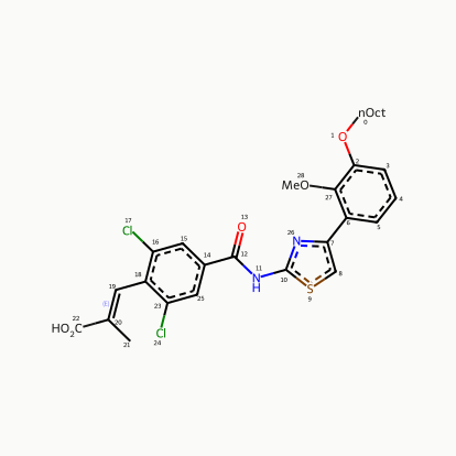 CCCCCCCCOc1cccc(-c2csc(NC(=O)c3cc(Cl)c(/C=C(\C)C(=O)O)c(Cl)c3)n2)c1OC